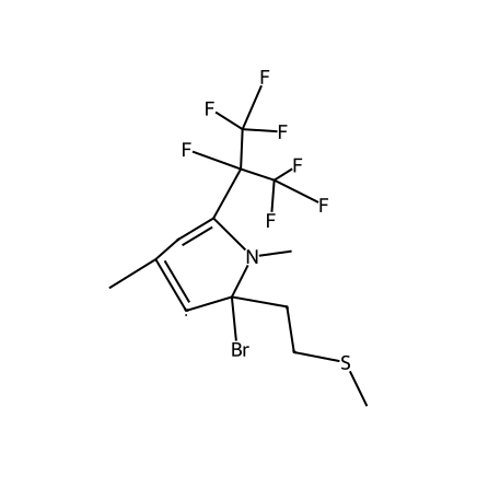 CSCCC1(Br)[C]=C(C)C=C(C(F)(C(F)(F)F)C(F)(F)F)N1C